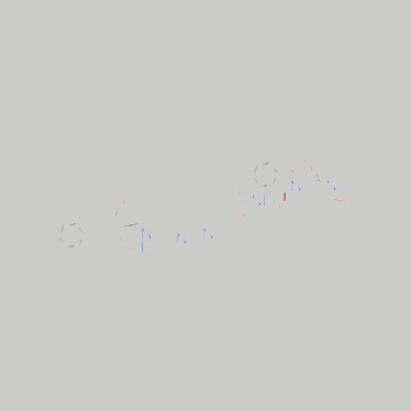 O=C1CCC(N2C(=O)c3cccc(NC(=O)OCCN4CCN(CCNC=C5C(=O)CC(c6ccccc6)CC5=O)CC4)c3C2=O)C(=O)N1